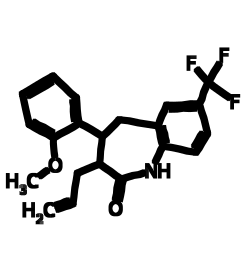 C=CCC1C(=O)Nc2ccc(C(F)(F)F)cc2CC1c1ccccc1OC